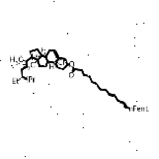 CCCCCC=CCC=CCCCCCCCC(=O)OC1CC[C@@]2(C)C(=CC[C@H]3[C@@H]4CC[C@H]([C@H](C)C=C[C@@H](CC)C(C)C)[C@@]4(C)CC[C@@H]32)C1